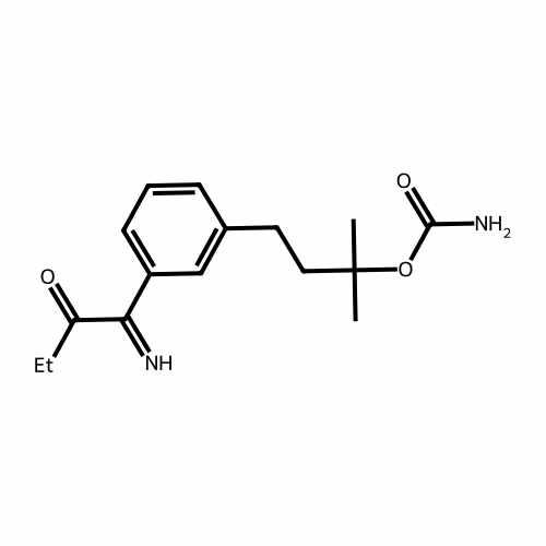 CCC(=O)C(=N)c1cccc(CCC(C)(C)OC(N)=O)c1